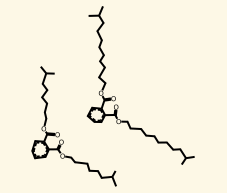 CC(C)CCCCCCCCCOC(=O)c1ccccc1C(=O)OCCCCCCCCCC(C)C.CC(C)CCCCCCOC(=O)c1ccccc1C(=O)OCCCCCCC(C)C